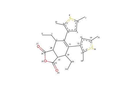 CCC1C(c2cc(C)sc2C)=C(c2cc(C)sc2C)C(CC)C2C(=O)OC(=O)C12